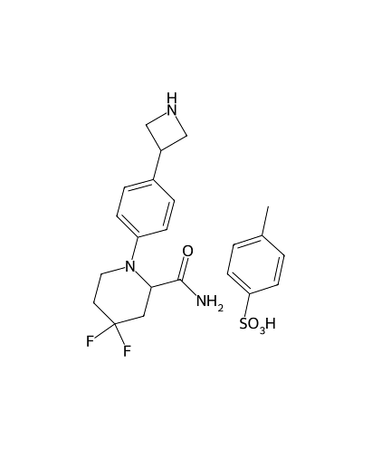 Cc1ccc(S(=O)(=O)O)cc1.NC(=O)C1CC(F)(F)CCN1c1ccc(C2CNC2)cc1